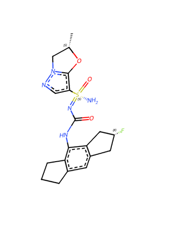 C[C@H]1Cn2ncc([S@@](N)(=O)=NC(=O)Nc3c4c(cc5c3C[C@H](F)C5)CCC4)c2O1